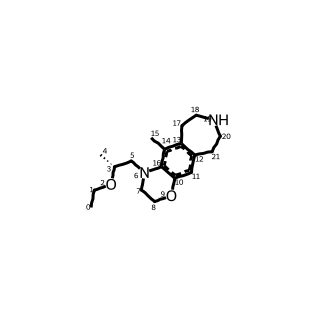 CCO[C@H](C)CN1CCOc2cc3c(c(C)c21)CCNCC3